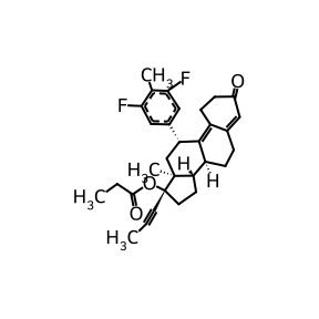 CC#C[C@]1(OC(=O)CC)CC[C@H]2[C@@H]3CCC4=CC(=O)CCC4=C3[C@@H](c3cc(F)c(C)c(F)c3)C[C@@]21C